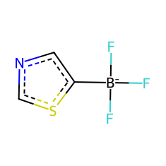 F[B-](F)(F)c1cncs1